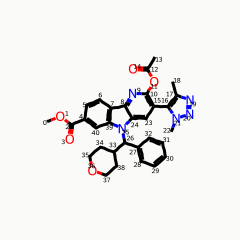 COC(=O)c1ccc2c3nc(OC(C)=O)c(-c4c(C)nnn4C)cc3n(C(c3ccccc3)C3CCOCC3)c2c1